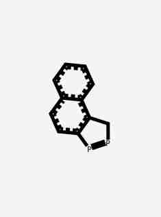 c1ccc2c3c(ccc2c1)P=PC3